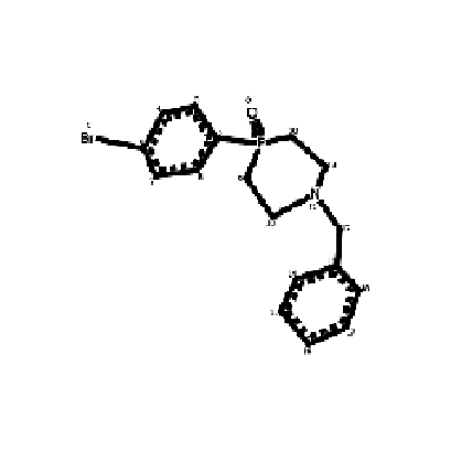 O=P1(c2ccc(Br)cc2)CCN(Cc2ccccc2)CC1